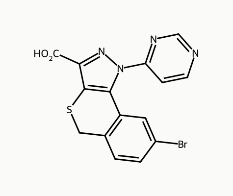 O=C(O)c1nn(-c2ccncn2)c2c1SCc1ccc(Br)cc1-2